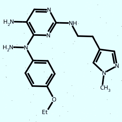 CCOc1ccc(N(N)c2nc(NCCc3cnn(C)c3)ncc2N)cc1